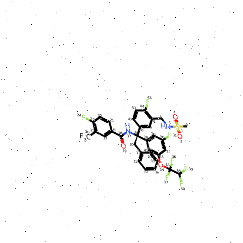 CS(=O)(=O)NCc1cc([C@@](Cc2ccccc2)(NC(=O)c2ccc(F)c(C(F)(F)F)c2)c2cc(F)cc(OC(F)(F)C(F)F)c2)ccc1F